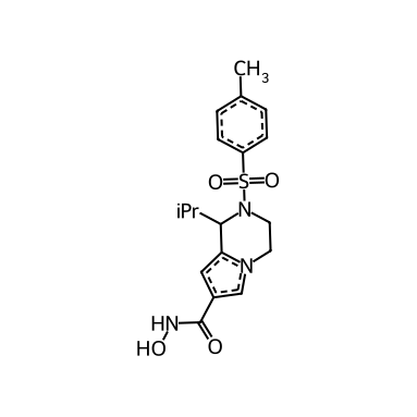 Cc1ccc(S(=O)(=O)N2CCn3cc(C(=O)NO)cc3C2C(C)C)cc1